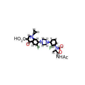 CC(=O)N[C@H]1OC(=O)N(c2cccc(N3CCN(c4cc5c(cc4F)c(=O)c(C(=O)O)cn5C4CC4)CC3)c2F)C1C